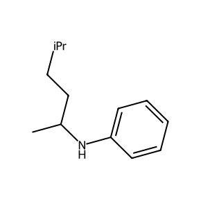 CC(C)CCC(C)Nc1ccccc1